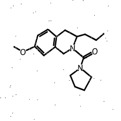 CCCC1Cc2ccc(OC)cc2CN1C(=O)N1CCCC1